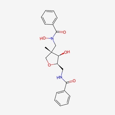 C[C@]1(CN(O)C(=O)c2ccccc2)CO[C@H](CNC(=O)c2ccccc2)[C@@H]1O